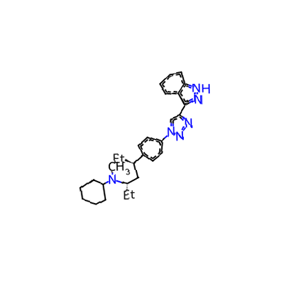 CC[C@H](C[C@H](CC)N(C)C1CCCCC1)c1ccc(-n2cc(-c3n[nH]c4ccccc34)nn2)cc1